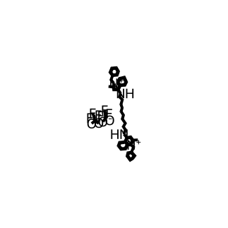 Cc1cc(NCCCCCCCCCCNc2cc(C)[n+](Cc3ccccc3)c3ccccc23)c2ccccc2[n+]1Cc1ccccc1.O=C([O-])C(F)(F)F.O=C([O-])C(F)(F)F